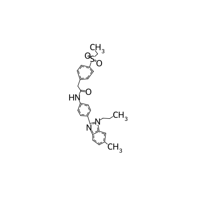 CCCn1c(-c2ccc(NC(=O)Cc3ccc(S(=O)(=O)CC)cc3)cc2)nc2ccc(C)cc21